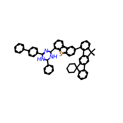 CC1(C)c2cc3c(cc2-c2c(-c4ccc5sc6c(C7N=C(c8ccc(-c9ccccc9)cc8)NC(c8ccccc8)N7)cccc6c5c4)cccc21)C1(CCCCC1)c1ccccc1-3